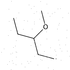 [CH2]CC(CC)OC